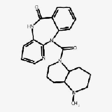 CN1CCCC2C1CCCN2C(=O)N1c2ccccc2C(=O)Nc2cccnc21